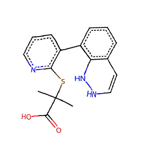 CC(C)(Sc1ncccc1-c1cccc2c1NNC=C2)C(=O)O